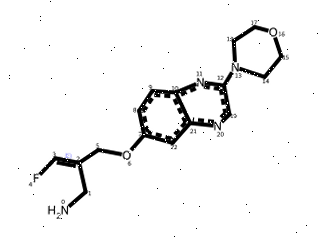 NC/C(=C\F)COc1ccc2nc(N3CCOCC3)cnc2c1